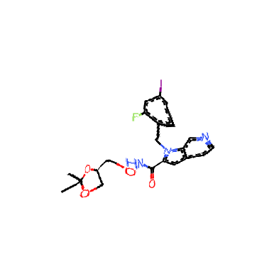 CC1(C)OC[C@H](CONC(=O)c2cc3ccncc3n2Cc2ccc(I)cc2F)O1